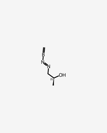 C=BN=NC[C@H](C)O